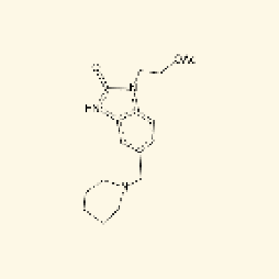 CC(=O)OCCn1c(=O)[nH]c2cc(CN3CCCCC3)ccc21